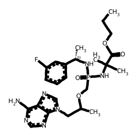 CCCOC(=O)C(C)(C)NP(=O)(COC(C)Cn1cnc2c(N)ncnc21)N[C@@H](C)c1cccc(F)c1